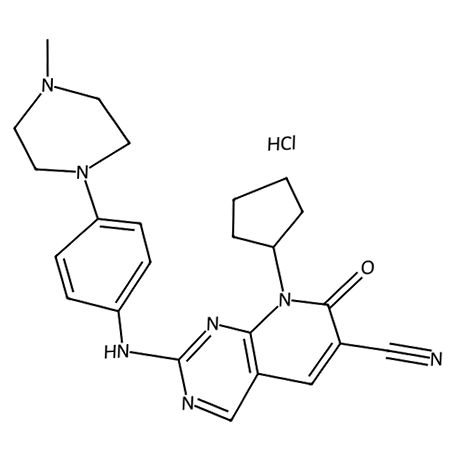 CN1CCN(c2ccc(Nc3ncc4cc(C#N)c(=O)n(C5CCCC5)c4n3)cc2)CC1.Cl